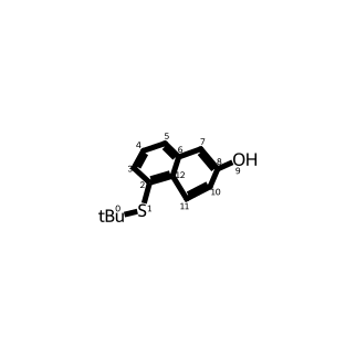 CC(C)(C)Sc1cccc2cc(O)ccc12